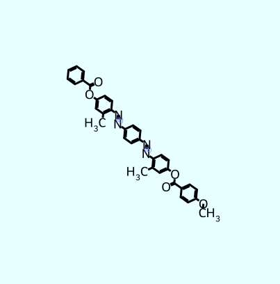 COc1ccc(C(=O)Oc2ccc(/N=N/c3ccc(/N=N/c4ccc(OC(=O)c5ccccc5)cc4C)cc3)c(C)c2)cc1